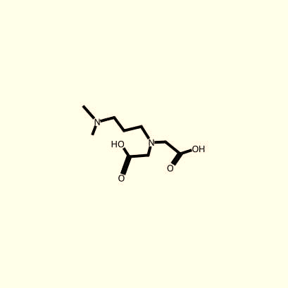 CN(C)CCCN(CC(=O)O)CC(=O)O